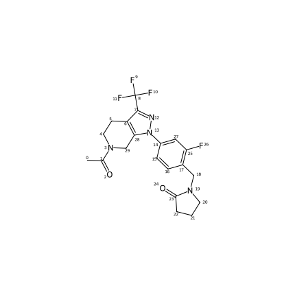 CC(=O)N1CCc2c(C(F)(F)F)nn(-c3ccc(CN4CCCC4=O)c(F)c3)c2C1